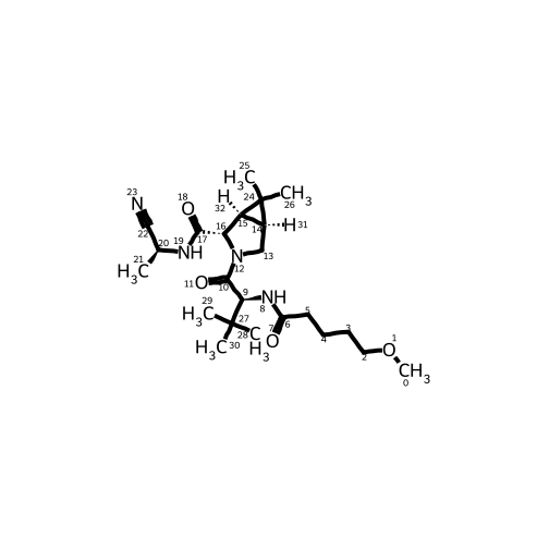 COCCCCC(=O)N[C@H](C(=O)N1C[C@H]2[C@@H]([C@H]1C(=O)N[C@@H](C)C#N)C2(C)C)C(C)(C)C